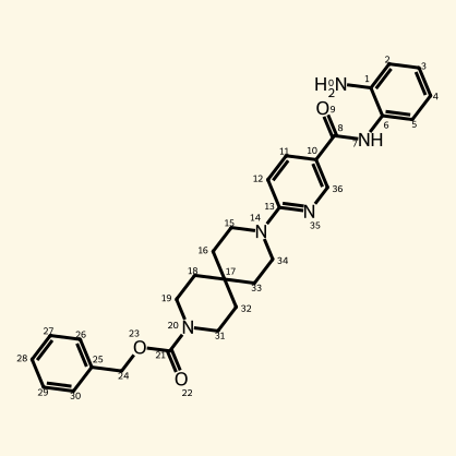 Nc1ccccc1NC(=O)c1ccc(N2CCC3(CCN(C(=O)OCc4ccccc4)CC3)CC2)nc1